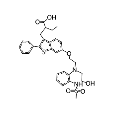 CCC(Cc1c(-c2ccccc2)sc2cc(OCCN(CCO)c3ccccc3NS(C)(=O)=O)ccc12)C(=O)O